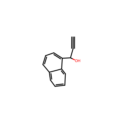 C#CC(O)c1cccc2ccccc12